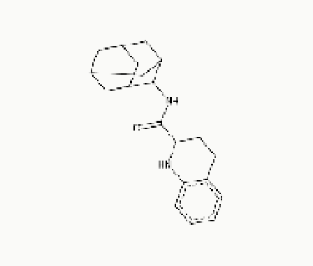 O=C(NC1C2CC3CC(C2)CC1C3)C1CCc2ccccc2N1